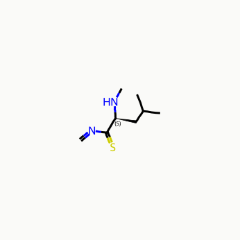 C=NC(=S)[C@H](CC(C)C)NC